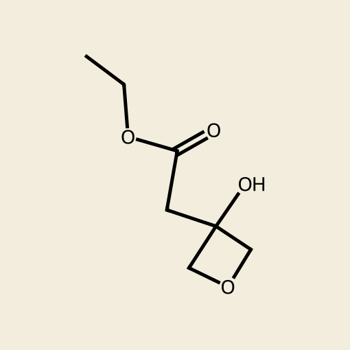 CCOC(=O)CC1(O)COC1